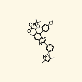 Cc1cc(C)n(-c2cccc(-c3nc4cc(C)c([C@H](OC(C)(C)C)C(=O)O)c(-c5ccc(Cl)cc5)c4s3)c2)n1